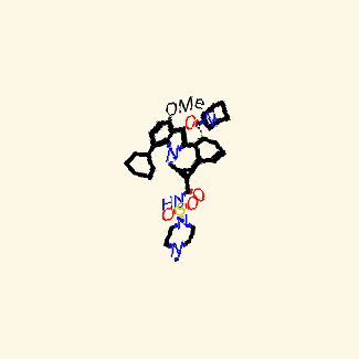 COc1ccc(C2CCCCC2)c2c1cc1n2CC2=C(C(=O)NS(=O)(=O)N3CCN(C)CC3)C2=C2C=CC[C@@H](C(=O)N3C4CCC3CC4)C21